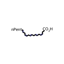 CCCCC/C=C/C/C=C\C/C=C/C/C=C/C/C=C\CCC(=O)O